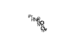 CC(C)CCNC(=O)n1cnc2c(N3CCN(C)C4(CC4)C3)cccc21